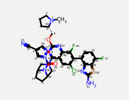 CN1CCC[C@H]1COc1nc(N2CC3CCC(C2)N3C(=O)n2cc(C#N)cn2)c2cc(Cl)c(-c3ccc(F)c4sc(N)nc34)c(F)c2n1